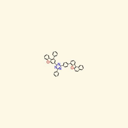 c1ccc(-c2nc(-c3ccc(-c4cccc5c4oc4ccc6ccccc6c45)cc3)nc(-c3cc(-c4ccccc4)c4c(c3)oc3ccccc34)n2)cc1